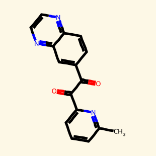 Cc1cccc(C(=O)C(=O)c2ccc3nccnc3c2)n1